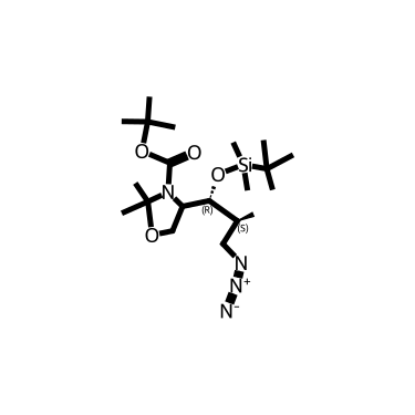 C[C@@H](CN=[N+]=[N-])[C@@H](O[Si](C)(C)C(C)(C)C)C1COC(C)(C)N1C(=O)OC(C)(C)C